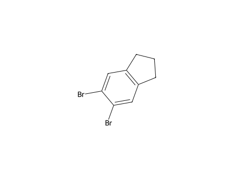 Brc1cc2c(cc1Br)CCC2